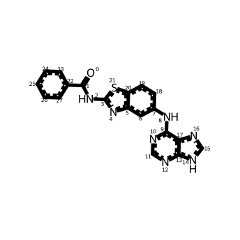 O=C(Nc1nc2cc(Nc3ncnc4[nH]cnc34)ccc2s1)c1ccccc1